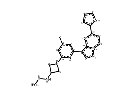 Cc1cc(-c2cnn3ccc(-c4cccs4)nc23)nc(N2CC(NSC(C)C)C2)c1